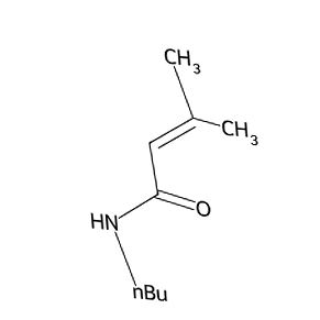 CCCCNC(=O)C=C(C)C